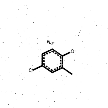 Cc1cc(Cl)ccc1[O-].[Na+]